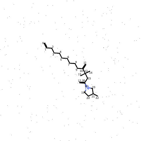 C=CCCCCCCCCC(=C)C(C)(C)CC(=C)N1CCC(C)C1